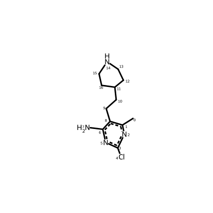 Cc1nc(Cl)nc(N)c1CCC1CCNCC1